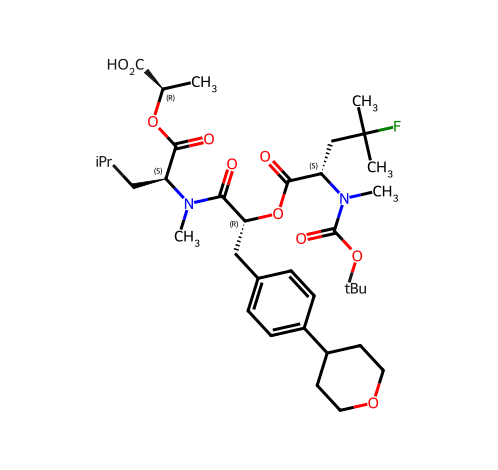 CC(C)C[C@@H](C(=O)O[C@H](C)C(=O)O)N(C)C(=O)[C@@H](Cc1ccc(C2CCOCC2)cc1)OC(=O)[C@H](CC(C)(C)F)N(C)C(=O)OC(C)(C)C